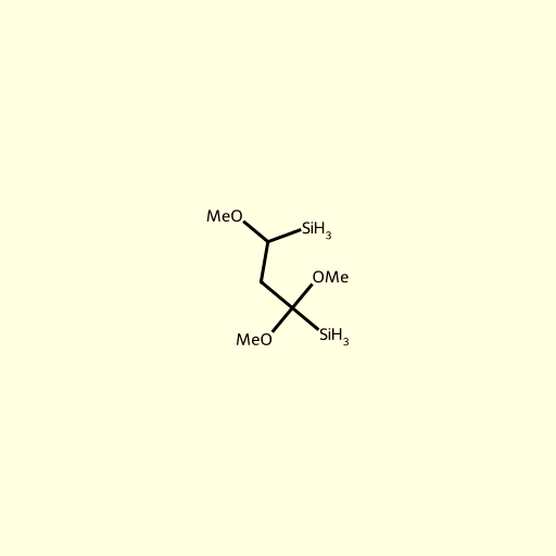 COC([SiH3])CC([SiH3])(OC)OC